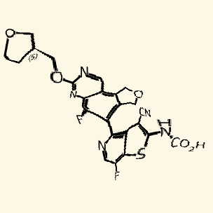 N#Cc1c(NC(=O)O)sc2c(F)cnc(-c3c4c(c5cnc(OC[C@H]6CCOC6)nc5c3F)COC4)c12